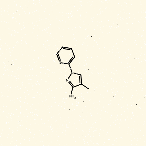 Cc1cn(-c2ccccn2)nc1N